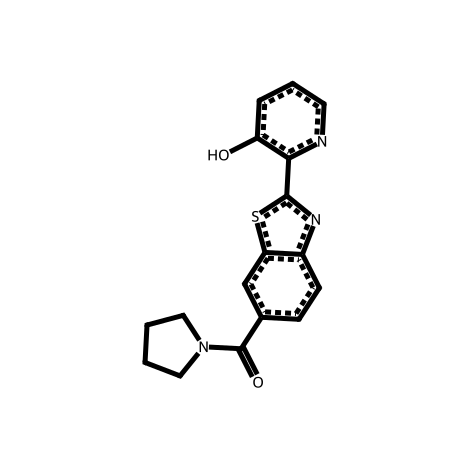 O=C(c1ccc2nc(-c3ncccc3O)sc2c1)N1CCCC1